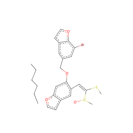 CCCCCC.CSC(=Cc1cc2ccoc2cc1OCc1cc(Br)c2occc2c1)[S+](C)[O-]